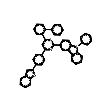 c1ccc(-c2ccccc2-c2cc(-c3ccc(-c4cc5ccccc5s4)cc3)nc(-c3ccc4c(c3)c3ccccc3n4-c3ccccc3)n2)cc1